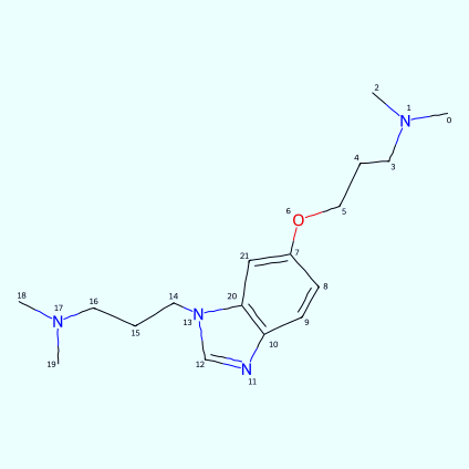 CN(C)CCCOc1ccc2ncn(CCCN(C)C)c2c1